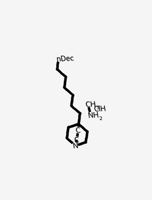 CCCCCCCCCCCCCCCCC12CCN(CC1)CC2.CN.Cl